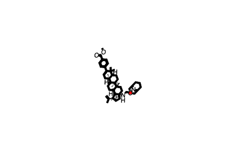 C=C(C)[C@@H]1CC[C@]2(NCCN3C4CCCC3COC4)CC[C@]3(C)[C@H](CC[C@@H]4[C@@]5(C)CC=C(c6ccc(C(=O)OC)cc6)C(C)(C)[C@@H]5CC[C@]43C)[C@@H]12